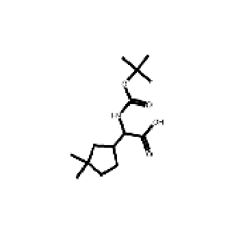 CC1(C)CCC(C(NC(=O)OC(C)(C)C)C(=O)O)C1